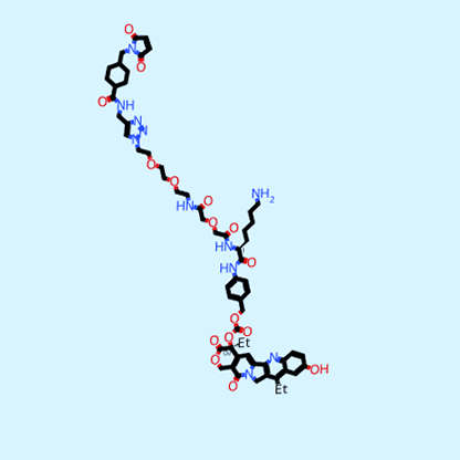 CCc1c2c(nc3ccc(O)cc13)-c1cc3c(c(=O)n1C2)COC(=O)[C@@]3(CC)OC(=O)OCc1ccc(NC(=O)[C@H](CCCCCN)NC(=O)COCC(=O)NCCOCCOCCn2cc(CNC(=O)C3CCC(CN4C(=O)C=CC4=O)CC3)nn2)cc1